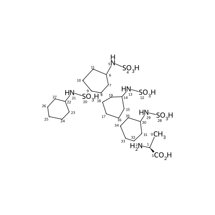 C[C@H](N)C(=O)O.O=S(=O)(O)NC1CCCCC1.O=S(=O)(O)NC1CCCCC1.O=S(=O)(O)NC1CCCCC1.O=S(=O)(O)NC1CCCCC1